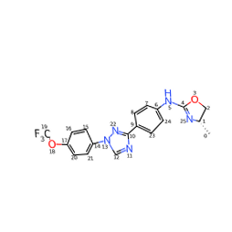 C[C@H]1COC(Nc2ccc(-c3ncn(-c4ccc(OC(F)(F)F)cc4)n3)cc2)=N1